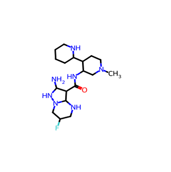 CN1CCC(C2CCCCN2)C(NC(=O)C2C(N)NN3CC(F)CNC23)C1